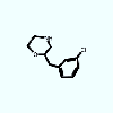 Clc1cccc(CC2CNCCO2)c1